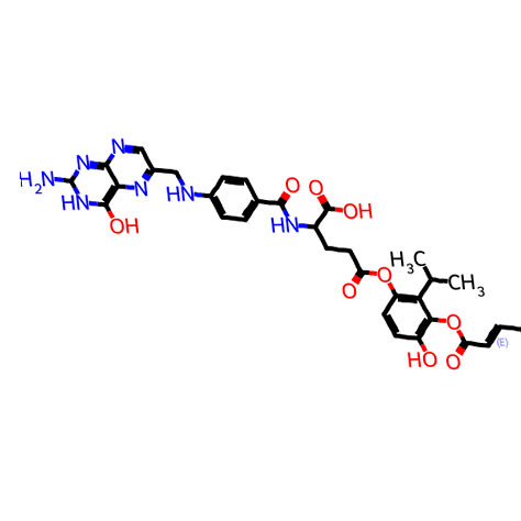 CC(C)c1c(OC(=O)CCC(NC(=O)c2ccc(NCc3cnc4c(n3)=C(O)NC(N)N=4)cc2)C(=O)O)ccc(O)c1OC(=O)/C=C/C(=O)O